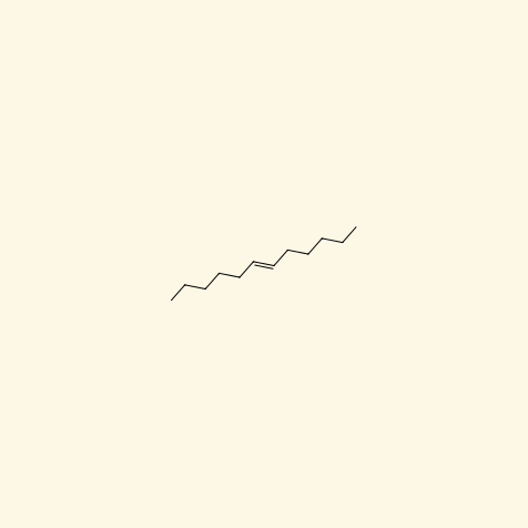 CCCCCC=CCCCCC